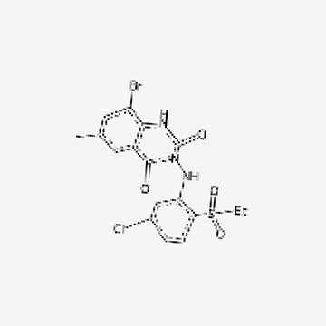 CCS(=O)(=O)c1ccc(Cl)cc1Nn1c(=O)[nH]c2c(Br)cc(C)cc2c1=O